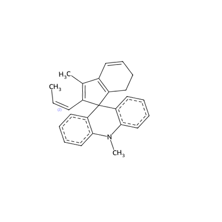 C/C=C\C1=C(C)C2=C(CCC=C2)C12c1ccccc1N(C)c1ccccc12